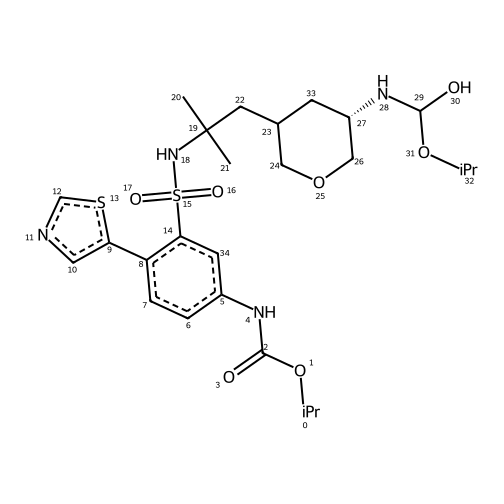 CC(C)OC(=O)Nc1ccc(-c2cncs2)c(S(=O)(=O)NC(C)(C)CC2COC[C@@H](NC(O)OC(C)C)C2)c1